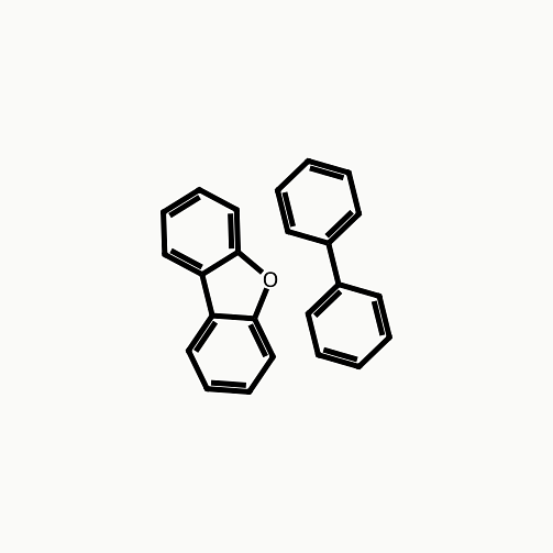 c1ccc(-c2ccccc2)cc1.c1ccc2c(c1)oc1ccccc12